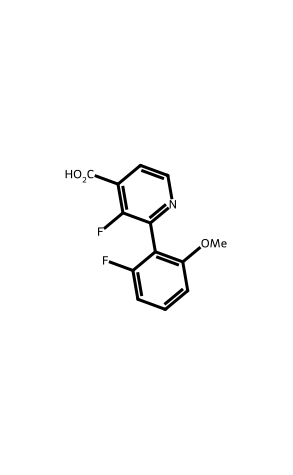 COc1cccc(F)c1-c1nccc(C(=O)O)c1F